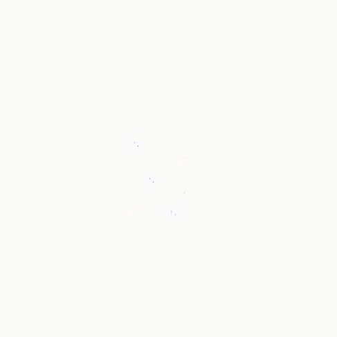 C=CCN(CC=C)CN1C(=O)NC(C)(C2CCCC2)C1=O